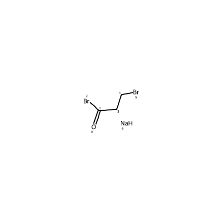 O=C(Br)CCBr.[NaH]